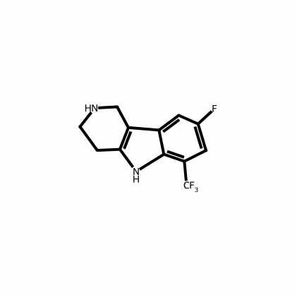 Fc1cc(C(F)(F)F)c2[nH]c3c(c2c1)CNCC3